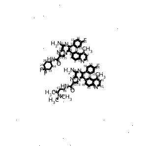 Cc1ccnc2ccc(-c3c(-c4ccc(F)cc4)nc(N)c4nc(C(=O)NC5CCC(F)(F)CC5)cn34)cc12.Cc1ccnc2ccc(-c3c(-c4ccc(F)cc4)nc(N)c4nc(C(=O)NCCC(C)N(C)C)cn34)cc12